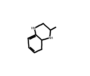 CC1CNC2=CC=CCC2N1